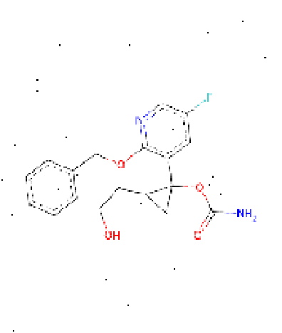 NC(=O)OC1(c2cc(F)cnc2OCc2ccccc2)CC1CCO